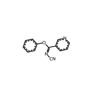 N#CN=C(Oc1ccccc1)c1cccnc1